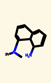 CC(C)N(C)C1=CC=CC2=CC=CC(N)C21